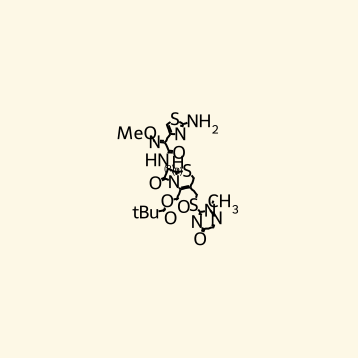 CON=C(C(=O)N[C@@H]1C(=O)N2C(C(=O)OC(=O)C(C)(C)C)=C(CSc3nc(=O)cnn3C)CS[C@H]12)c1csc(N)n1